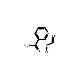 C=COC.NC(=O)c1cccnc1